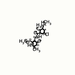 CCNc1cc(Cl)cc(C(=O)NCc2c(COC)[nH]c(C)cc2=O)c1C